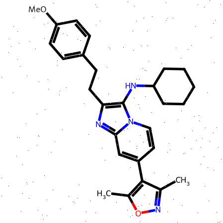 COc1ccc(CCc2nc3cc(-c4c(C)noc4C)ccn3c2NC2CCCCC2)cc1